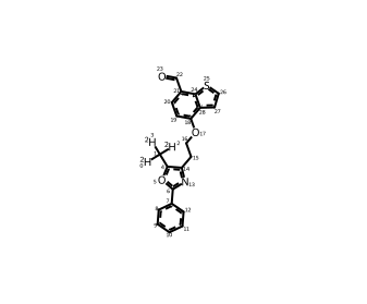 [2H]C([2H])([2H])c1oc(-c2ccccc2)nc1CCOc1ccc(C=O)c2sccc12